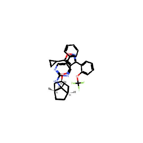 FC(F)(F)Oc1ccccc1-c1noc(C2CC2)c1CO[C@H]1C[C@H]2CC[C@@H](C1)[C@@H]2Nc1ncc(-c2ccccc2)cn1